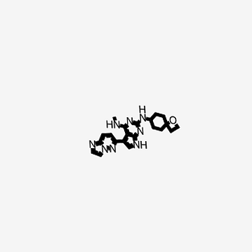 CNc1nc(NC2CCC3(CCO3)CC2)nc2[nH]cc(-c3ccc4nccn4n3)c12